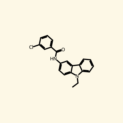 CCn1c2ccccc2c2cc(NC(=O)c3cccc(Cl)c3)ccc21